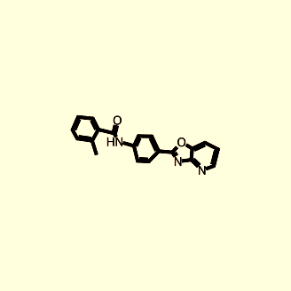 Cc1ccccc1C(=O)Nc1ccc(-c2nc3ncccc3o2)cc1